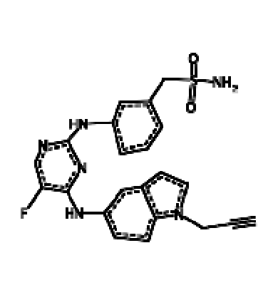 C#CCn1ccc2cc(Nc3nc(Nc4cccc(CS(N)(=O)=O)c4)ncc3F)ccc21